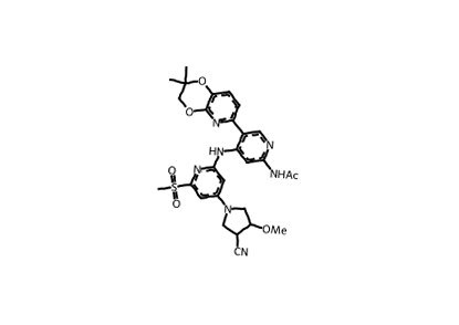 COC1CN(c2cc(Nc3cc(NC(C)=O)ncc3-c3ccc4c(n3)OCC(C)(C)O4)nc(S(C)(=O)=O)c2)CC1C#N